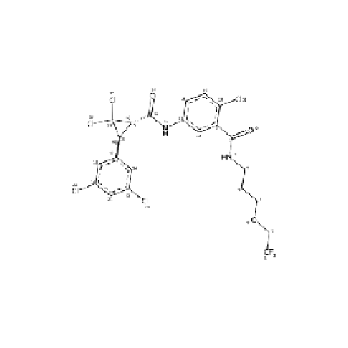 O=C(NCCCOCC(F)(F)F)c1cc(NC(=O)[C@@H]2[C@@H](c3cc(Cl)cc(Cl)c3)C2(Cl)Cl)ccc1Cl